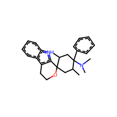 CC1CC(c2ccccc2)(N(C)C)C(C)CC12OCCc1c2[nH]c2ccccc12